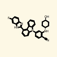 N#Cc1ccc(-n2c3ccccc3c3c(-c4nc5ccc(F)cc5[nH]4)cccc32)cc1N[C@H]1CC[C@H](O)CC1